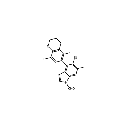 CCc1c(C)cc2c(ccn2C=O)c1-c1cc(F)c2c(c1C)CCCO2